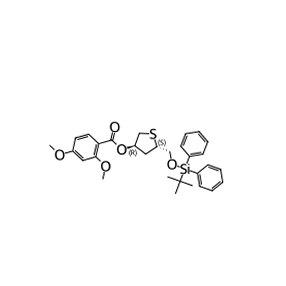 COc1ccc(C(=O)O[C@H]2CS[C@H](CO[Si](c3ccccc3)(c3ccccc3)C(C)(C)C)C2)c(OC)c1